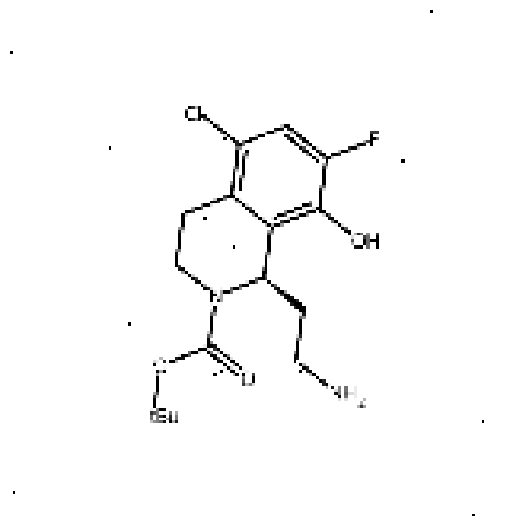 CC(C)(C)OC(=O)N1CCc2c(Cl)cc(F)c(O)c2[C@H]1CCN